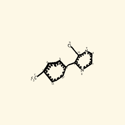 FC(F)(F)c1ccc(-c2nccnc2Cl)cc1